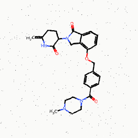 C=C1CCC(N2Cc3c(OCc4ccc(C(=O)N5CCN(C)CC5)cc4)cccc3C2=O)C(=O)N1